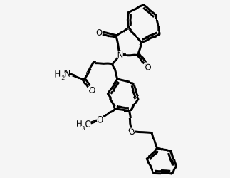 COc1cc(C(CC(N)=O)N2C(=O)c3ccccc3C2=O)ccc1OCc1ccccc1